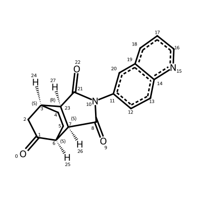 O=C1C[C@@H]2CC[C@H]1[C@@H]1C(=O)N(c3ccc4ncccc4c3)C(=O)[C@H]21